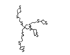 C(CSC1CSC1)SCC(CSCCSC1CSC1)(CSCCSC1CSC1)CSC1CSC1